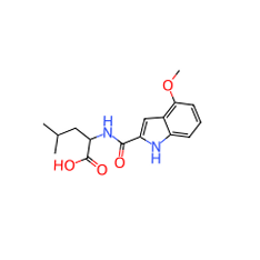 COc1cccc2[nH]c(C(=O)NC(CC(C)C)C(=O)O)cc12